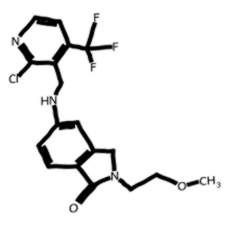 COCCN1Cc2cc(NCc3c(C(F)(F)F)ccnc3Cl)ccc2C1=O